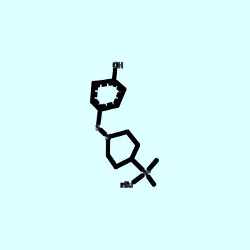 CCCC[N+](C)(C)C1CCN(Sc2ccc(O)cc2)CC1